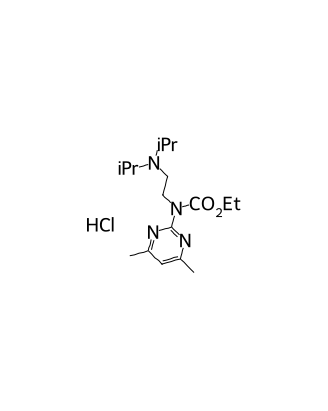 CCOC(=O)N(CCN(C(C)C)C(C)C)c1nc(C)cc(C)n1.Cl